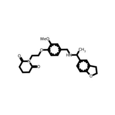 COc1cc(CNC(C)c2ccc3c(c2)CCO3)ccc1OCCN1C(=O)CCCC1=O